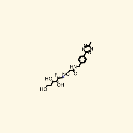 Cc1nnc(-c2ccc(CNC(=O)CO/N=C/[C@H](F)[C@@H](O)[C@H](O)CCO)cc2)nn1